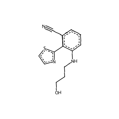 N#Cc1cccc(NCCCO)c1-c1nccs1